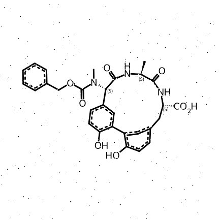 C[C@@H]1NC(=O)[C@@H](N(C)C(=O)OCc2ccccc2)c2ccc(O)c(c2)-c2cc(ccc2O)C[C@@H](C(=O)O)NC1=O